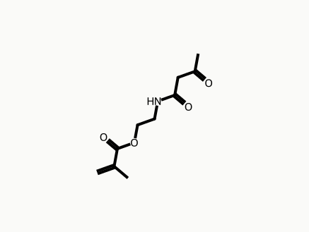 C=C(C)C(=O)OCCNC(=O)CC(C)=O